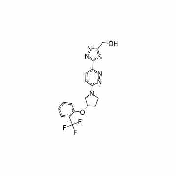 OCc1nnc(-c2ccc(N3CC[C@H](Oc4ccccc4C(F)(F)F)C3)nn2)s1